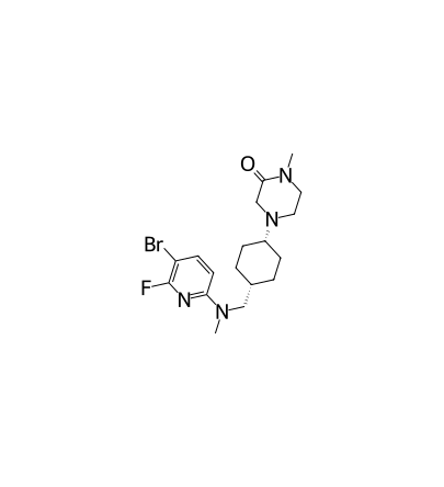 CN1CCN([C@H]2CC[C@@H](CN(C)c3ccc(Br)c(F)n3)CC2)CC1=O